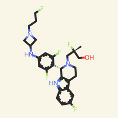 C[C@@](F)(CO)CN1CCc2c([nH]c3ccc(F)cc23)[C@@H]1c1c(F)cc(NC2CN(CCCF)C2)cc1F